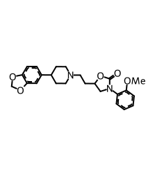 COc1ccccc1N1CC(CCN2CCC(c3ccc4c(c3)OCO4)CC2)OC1=O